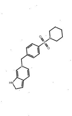 O=S(=O)(c1ccc(CN2C=CC3=CCNC3=C2)cc1)N1CCCCC1